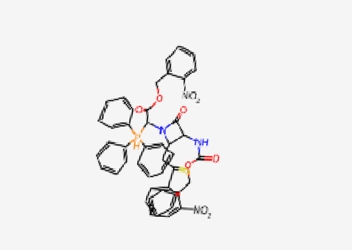 O=C(NC1C(=O)N(C(C(=O)OCc2ccccc2[N+](=O)[O-])[PH](c2ccccc2)(c2ccccc2)c2ccccc2)C1CC(=S)c1ccccc1)OCc1ccccc1[N+](=O)[O-]